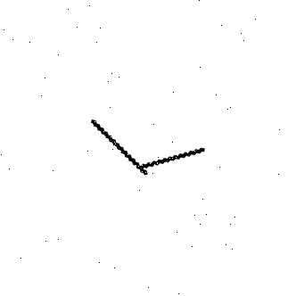 CCCCCCCCCCCCCCCCCCCCCCCCCC(CCC)CCCCCCCCCCCCCCCCCCCCCCCC